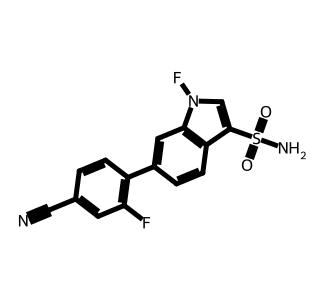 N#Cc1ccc(-c2ccc3c(S(N)(=O)=O)cn(F)c3c2)c(F)c1